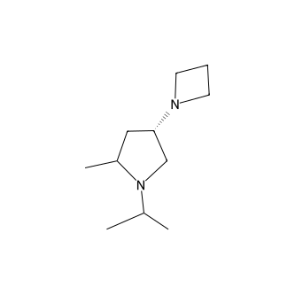 CC(C)N1C[C@@H](N2CCC2)CC1C